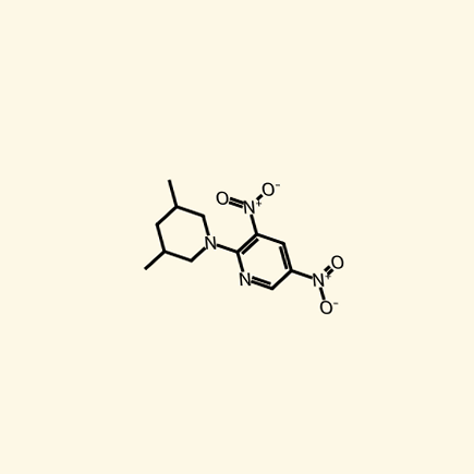 CC1CC(C)CN(c2ncc([N+](=O)[O-])cc2[N+](=O)[O-])C1